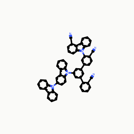 N#Cc1ccccc1-c1cc(-c2ccc(C#N)c(-n3c4ccccc4c4c(C#N)cccc43)c2)cc(-n2c3ccccc3c3cc(-n4c5ccccc5c5ccccc54)ccc32)c1